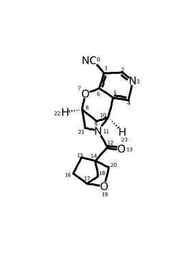 N#Cc1cncc2c1O[C@H]1C[C@@H]2N(C(=O)C23CCC(C2)OC3)C1